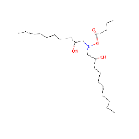 CCCCCCCCC(O)CN(CC(O)CCCCCCCC)OC(=O)CCC